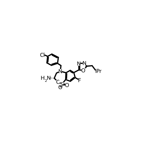 CC(C)Cc1nnc(-c2cc3c(cc2F)S(=O)(=O)C[C@H](N)CN3Cc2ccc(Cl)cc2)o1